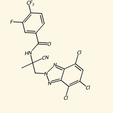 CC(C#N)(Cn1nc2c(Cl)cc(Cl)c(Cl)c2n1)NC(=O)c1ccc(C(F)(F)F)c(F)c1